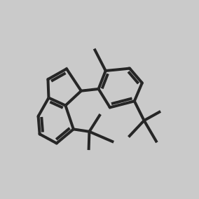 Cc1ccc(C(C)(C)C)cc1C1C=Cc2cccc(C(C)(C)C)c21